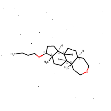 CCCCO[C@H]1CC[C@H]2[C@@H]3CC[C@H]4CCOCC[C@]4(C)[C@H]3CC[C@]12C